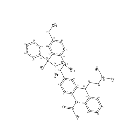 CC(C)C(=O)Oc1ccc(COc2ccc(CO)cc2C(c2ccccc2)(C(C)C)C(CN)C(C)C)cc1C(CCN(C(C)C)C(C)C)c1ccccc1